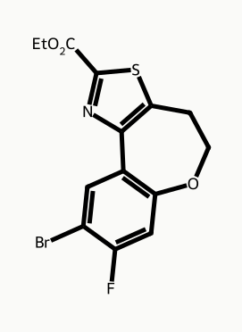 CCOC(=O)c1nc2c(s1)CCOc1cc(F)c(Br)cc1-2